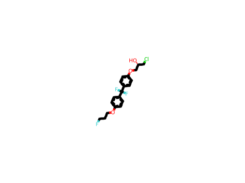 O[C@H](CCl)COc1ccc(C(F)(F)c2ccc(OCCCF)cc2)cc1